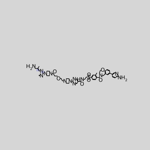 C=N/C(=N\C=C(/C)CN)N1CCN(C(=O)CCOCCN2CCN(c3ncc(C(=O)NCCS(=O)(=O)c4ccc(C(=O)N5CCOc6ccc(-c7ccc(N)nc7)cc6C5)c(C)c4)cn3)CC2)CC1